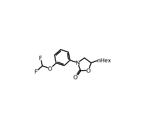 CCCCCCC1CN(c2cccc(OC(F)F)c2)C(=O)O1